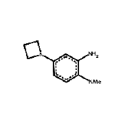 CNc1ccc(N2CCC2)cc1N